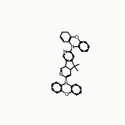 CC1(C)c2cc(N3C4=C(CCC=C4)Oc4ccccc43)ncc2C2C=NC(N3c4ccccc4Oc4ccccc43)=CC21